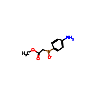 COC(=O)C[S+]([O-])c1ccc(N)cc1